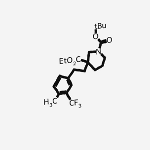 CCOC(=O)C1(CCc2ccc(C)c(C(F)(F)F)c2)CCCN(C(=O)OC(C)(C)C)C1